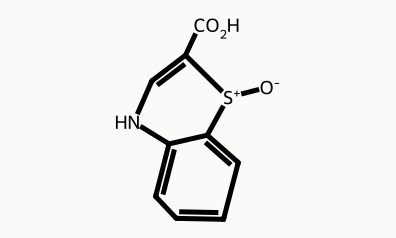 O=C(O)C1=CNc2ccccc2[S+]1[O-]